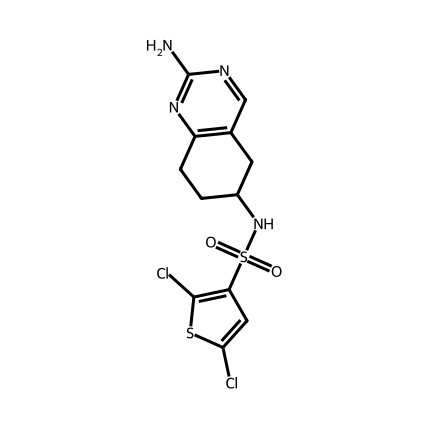 Nc1ncc2c(n1)CCC(NS(=O)(=O)c1cc(Cl)sc1Cl)C2